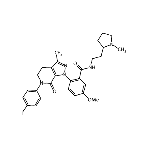 COc1ccc(-n2nc(C(F)(F)F)c3c2C(=O)N(c2ccc(I)cc2)CC3)c(C(=O)NCCC2CCCN2C)c1